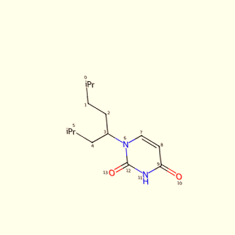 CC(C)CCC(CC(C)C)n1ccc(=O)[nH]c1=O